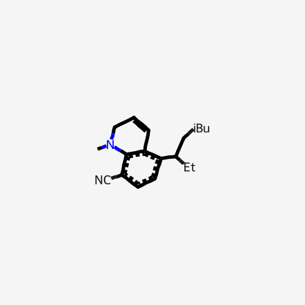 CCC(C)CC(CC)c1ccc(C#N)c2c1C=CCN2C